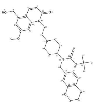 COc1cc(CO)c2ccc(=O)n(CCN3CCC(N(Cc4ccc5c(c4)OCCO5)C(=O)OC(C)(C)C)CC3)c2c1